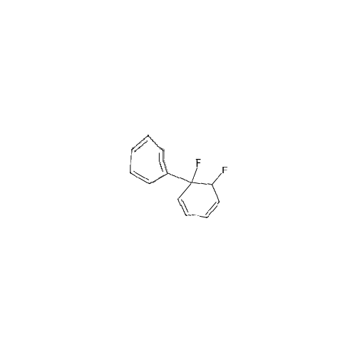 FC1C=CC=CC1(F)c1ccccc1